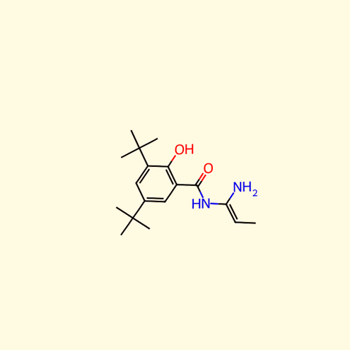 CC=C(N)NC(=O)c1cc(C(C)(C)C)cc(C(C)(C)C)c1O